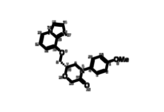 COc1ccc(N2C[C@@H](COc3cccn4ccnc34)OCC2=O)cc1